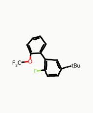 CC(C)(C)c1ccc(F)c(-c2ccccc2OC(F)(F)F)c1